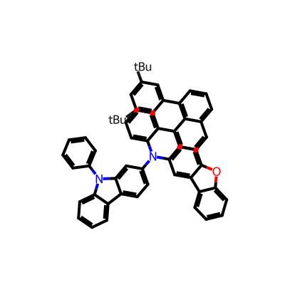 CC(C)(C)c1cc(-c2cccc3cccc(-c4ccccc4N(c4ccc5oc6ccccc6c5c4)c4ccc5c6ccccc6n(-c6ccccc6)c5c4)c23)cc(C(C)(C)C)c1